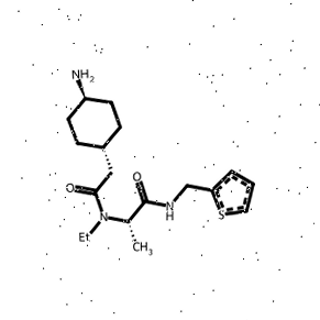 CCN(C(=O)C[C@H]1CC[C@H](N)CC1)[C@@H](C)C(=O)NCc1cccs1